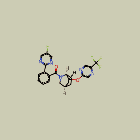 O=C(c1ccccc1-c1ncc(F)cn1)N1C[C@@H]2CC[C@H]1[C@H](Oc1cnc(C(F)(F)F)cn1)C2